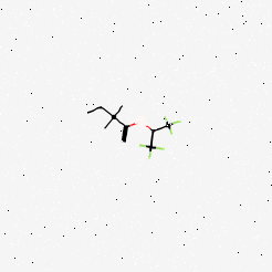 C=C(OC(C(F)(F)F)C(F)(F)F)C(C)(C)CC